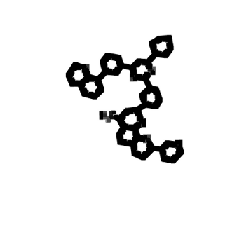 Cc1cc(-c2cccc(-c3nc(-c4ccccc4)cc(-c4cccc(-c5cccc6cccnc56)c4)n3)c2)nc2c1ccc1ccc(-c3cccnc3)nc12